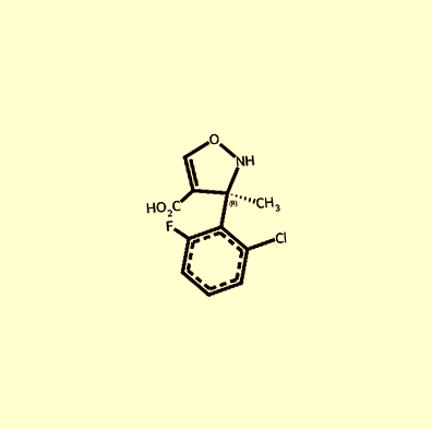 C[C@@]1(c2c(F)cccc2Cl)NOC=C1C(=O)O